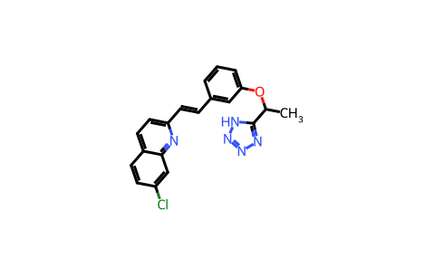 CC(Oc1cccc(C=Cc2ccc3ccc(Cl)cc3n2)c1)c1nnn[nH]1